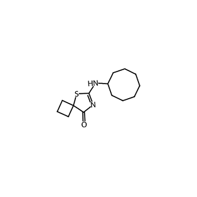 O=C1N=C(NC2CCCCCCC2)SC12CCC2